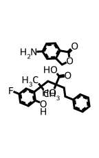 CC(C)(CC(O)(CCc1ccccc1)C(=O)O)c1cc(F)ccc1O.Nc1ccc2c(c1)COC2=O